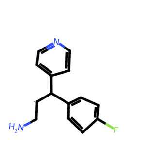 NC[CH]C(c1ccncc1)c1ccc(F)cc1